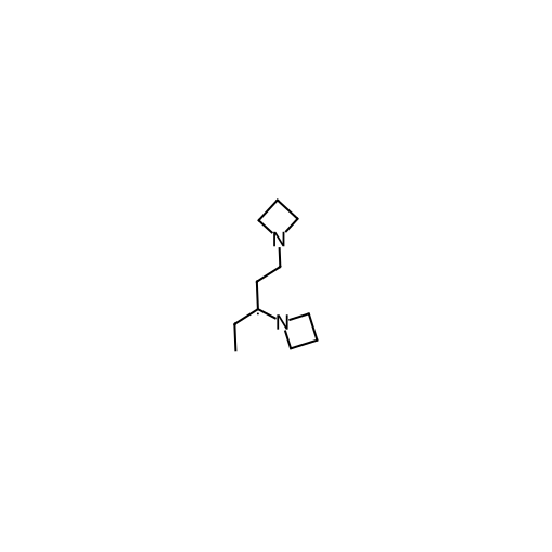 CC[C](CCN1CCC1)N1CCC1